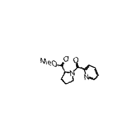 COC(=O)[C@@H]1CCCN1C(=O)c1ccccn1